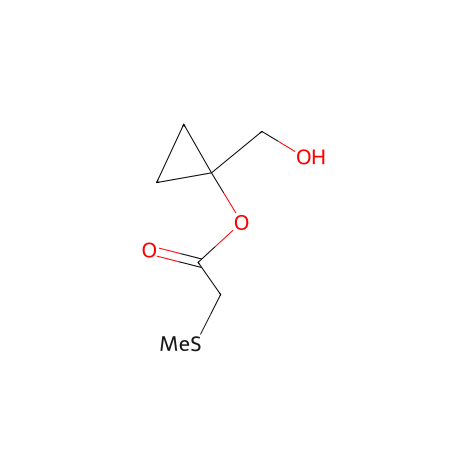 CSCC(=O)OC1(CO)CC1